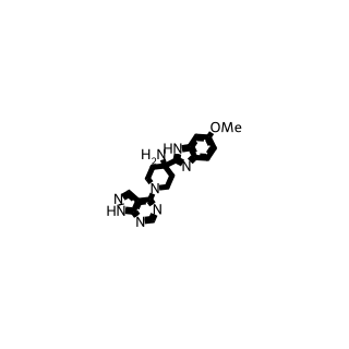 COc1ccc2nc(C3(N)CCN(c4ncnc5[nH]ncc45)CC3)[nH]c2c1